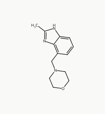 Cc1nc2c(CN3CCOCC3)cccc2[nH]1